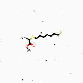 CCCC(SCCCCCCCF)C(=O)OC(C)C